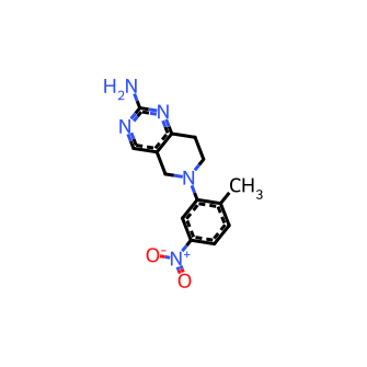 Cc1ccc([N+](=O)[O-])cc1N1CCc2nc(N)ncc2C1